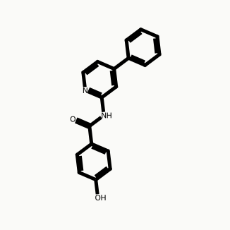 O=C(Nc1cc(-c2ccccc2)ccn1)c1ccc(O)cc1